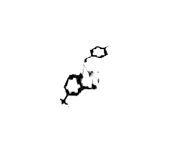 FC(F)(F)c1ccc2c(cnn2Cc2ccc(Cl)cc2)c1